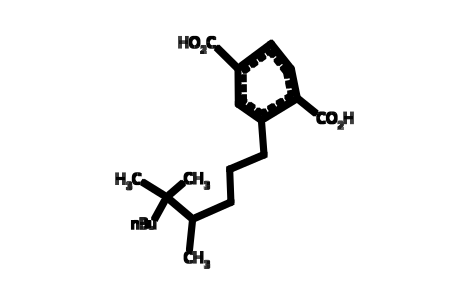 CCCCC(C)(C)C(C)CCCc1cc(C(=O)O)ccc1C(=O)O